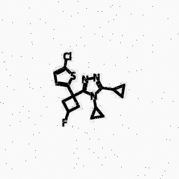 FC1CC(c2ccc(Cl)s2)(c2nnc(C3CC3)n2C2CC2)C1